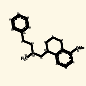 COc1cccc2c1CCCC2CN(C)CCc1ccccc1